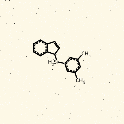 Cc1cc(C)cc([SiH2][C]2C=Cc3ccccc32)c1